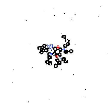 C1=Cc2cc(-c3cccc4ccccc34)ccc2N(c2cc3oc4c(N(c5ccc6ccccc6c5)c5cccc6c(-c7ccccc7)cccc56)ccc5c6cc(N(c7cccc(-c8ccccc8)c7)c7ccc8c(ccc9ccc(-c%10ccccc%10)cc98)c7)cc7oc8cc(-c9ncnc(-c%10ccc%11c(c%10)C%10(c%12ccccc%12-c%12ccccc%12%10)c%10ccccc%10-%11)n9)cc(c(c2)c3c45)c8c76)C1